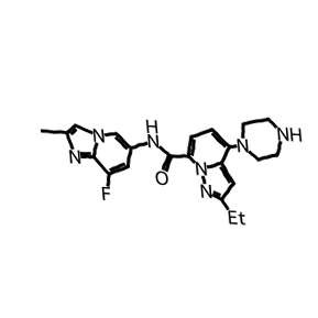 CCc1cc2c(N3CCNCC3)ccc(C(=O)Nc3cc(F)c4nc(C)cn4c3)n2n1